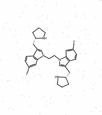 Fc1ccc2c(C[C@@H]3CCCN3)cn(CCn3cc(C[C@@H]4CCCN4)c4ccc(F)cc43)c2c1